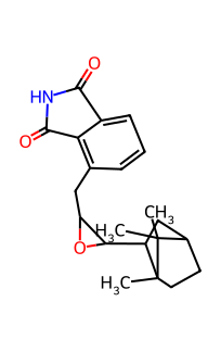 CC1(C)C2CCC1(C)C(C1OC1Cc1cccc3c1C(=O)NC3=O)C2